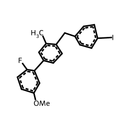 COc1ccc(F)c(-c2ccc(Cc3ccc(I)cc3)c(C)c2)c1